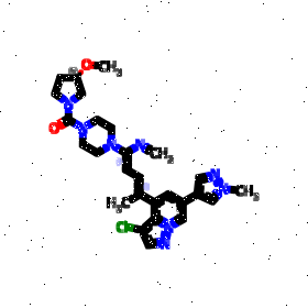 C=N/C(=C\C=C(/C)c1cc(-c2cnn(C)c2)cn2ncc(Cl)c12)N1CCN(C(=O)N2CC[C@H](OC)C2)CC1